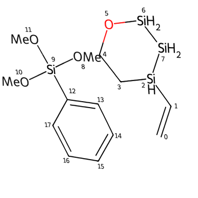 C=C[SiH]1CCO[SiH2][SiH2]1.CO[Si](OC)(OC)c1ccccc1